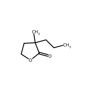 CCCC1(C)CCOC1=O